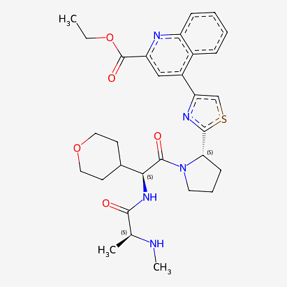 CCOC(=O)c1cc(-c2csc([C@@H]3CCCN3C(=O)[C@@H](NC(=O)[C@H](C)NC)C3CCOCC3)n2)c2ccccc2n1